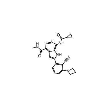 CNC(=O)c1cnc(NC(=O)C2CC2)c2[nH]c(-c3cccc(N4CCC4)c3C#N)cc12